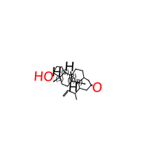 C=CC(C)C1CC(=O)CC2CC[C@@H]3[C@@H](CC[C@]4(C)C(O)CC[C@@H]34)[C@]21C